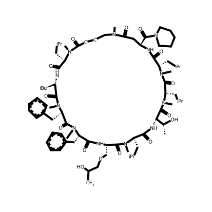 CC[C@H](C)[C@@H]1NC(=O)[C@H](CC(C)C)N(C)C(=O)CCCN(C)C(=O)C[C@@H](C(=O)N2CCCCC2)NC(=O)[C@H](CC(C)C)N(C)C(=O)[C@H](CC(C)C)N(C)C(=O)[C@H]([C@@H](C)O)NC(=O)[C@H](CC(C)C)N(C)C(=O)[C@H](COCC(O)C(F)(F)F)NC(=O)[C@H](Cc2ccccc2)N(C)C(=O)[C@H](Cc2ccccc2)N(C)C1=O